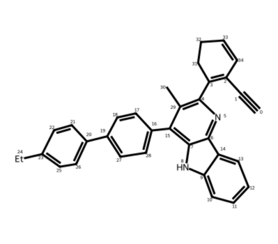 C#CC1=C(c2nc3c([nH]c4ccccc43)c(-c3ccc(-c4ccc(CC)cc4)cc3)c2C)CCC=C1